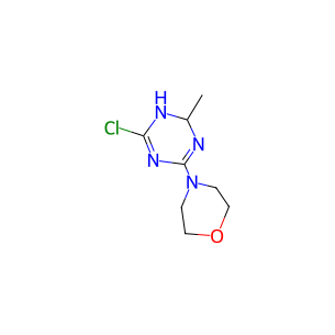 CC1N=C(N2CCOCC2)N=C(Cl)N1